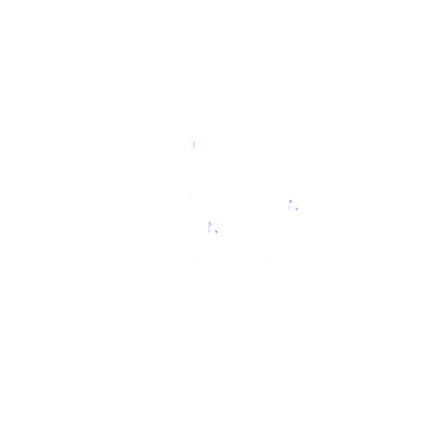 CCCON1C=C(Br)C=C2NCC=C21